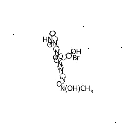 CN(O)C(=O)CN1CCC(N2CCN(C(=O)C(Cc3ccc(O)c(Br)c3)OC(=O)N3CCC(N4CCc5ccccc5NC4=O)CC3)CC2)CC1